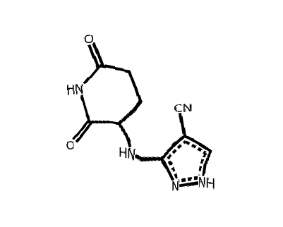 N#Cc1c[nH]nc1NC1CCC(=O)NC1=O